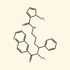 CN(C(=O)c1ccc2ncccc2c1)C(CCCNC(=O)c1cccn1C)c1ccccc1